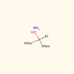 CCCCCCC(O)(CC)CCCCCC.N